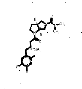 CN(C)C(=O)N1C[C@@H]2CCN(C(=O)C[C@H](N)Cc3cc(F)c(F)cc3F)[C@@H]2C1